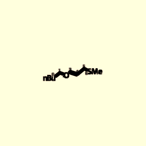 CCCCCOC=CCSC